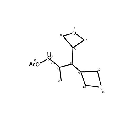 CC(=O)O[SiH2]C(C)C(C1COC1)C1COC1